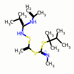 C=C(C)NC(NSC(=C)S/C(=N\C)SC(C)(C)C(C)C)=C(C)C